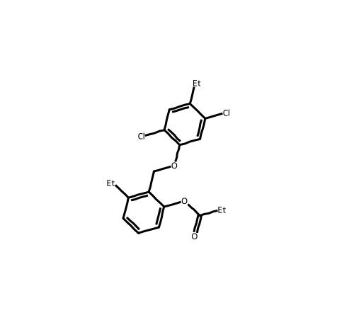 CCC(=O)Oc1cccc(CC)c1COc1cc(Cl)c(CC)cc1Cl